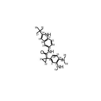 CNc1cc(C2(C(=O)Nc3ccc4[nH]c(C(C)(C)C)cc4c3)CC2)ccc1N(C)C